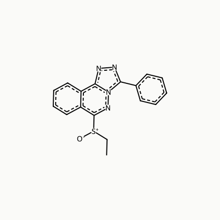 CC[S+]([O-])c1nn2c(-c3ccccc3)nnc2c2ccccc12